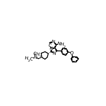 CN(C)C[C@H]1CC[C@H](c2nc(-c3ccc(Oc4ccccc4)cc3)c3c(N)nccn32)CC1